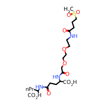 CCCC(NC(=O)CCC(NC(=O)COCCOCCNC(=O)CCCS(C)(=O)=O)C(=O)O)C(=O)O